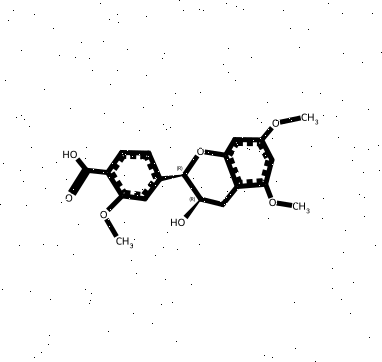 COc1cc(OC)c2c(c1)O[C@H](c1ccc(C(=O)O)c(OC)c1)[C@H](O)C2